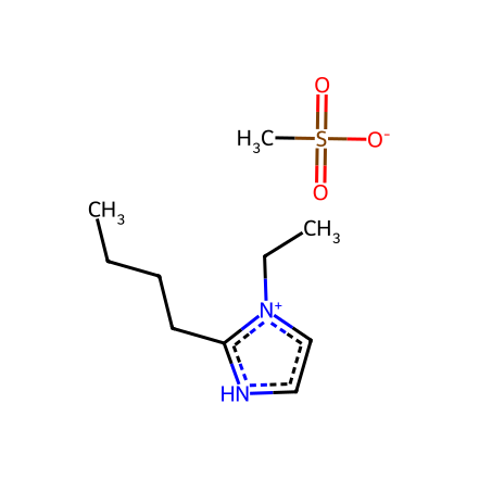 CCCCc1[nH]cc[n+]1CC.CS(=O)(=O)[O-]